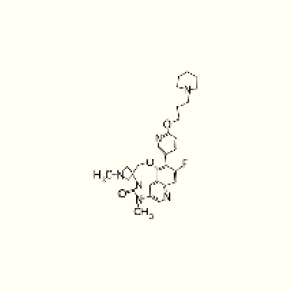 CN1CC2(COc3c(-c4ccc(OCCCN5CCCCC5)nc4)c(F)cc4ncc5c(c34)n2c(=O)n5C)C1